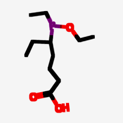 CCOP(CC)C(CC)CCCC(=O)O